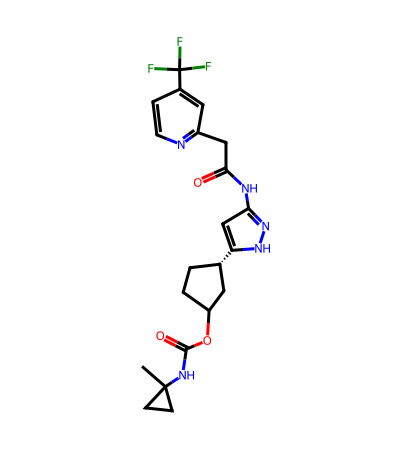 CC1(NC(=O)OC2CC[C@H](c3cc(NC(=O)Cc4cc(C(F)(F)F)ccn4)n[nH]3)C2)CC1